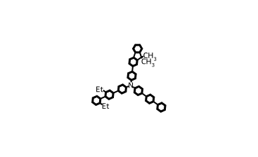 CCc1ccccc1-c1ccc(-c2ccc(N(c3ccc(-c4ccc(-c5ccccc5)cc4)cc3)c3ccc(-c4ccc5c(c4)C(C)(C)c4ccccc4-5)cc3)cc2)cc1CC